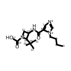 CCCCn1cncc1C(=O)NC1CN(C(=O)O)C1C(C)(C)C